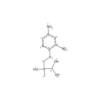 CC(O)(COc1ncc([N+](=O)[O-])cc1[N+](=O)[O-])C(O)O